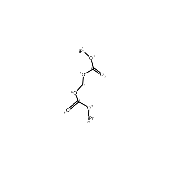 CC(C)OC(=O)O[CH]OC(=O)OC(C)C